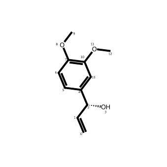 C=C[C@@H](O)c1ccc(OC)c(OC)c1